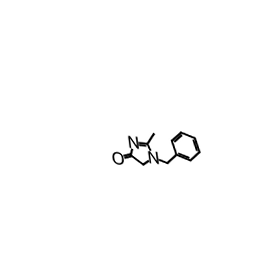 CC1=NC(=O)CN1Cc1ccccc1